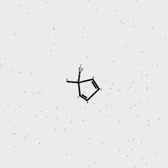 C[C]1([Er])C=CC=C1